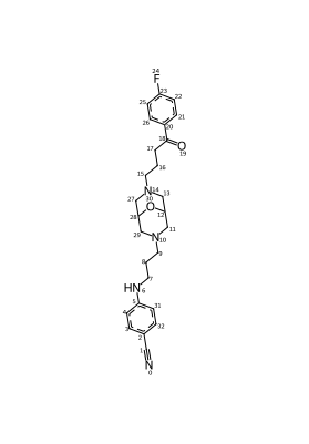 N#Cc1ccc(NCCCN2CC3CN(CCCC(=O)c4ccc(F)cc4)CC(C2)O3)cc1